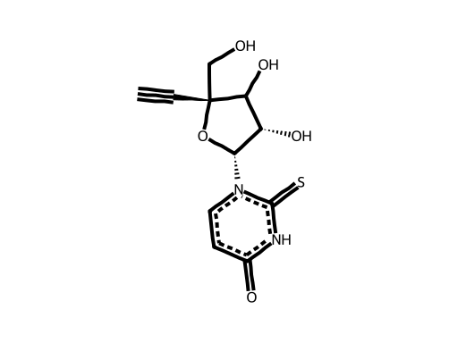 C#C[C@]1(CO)O[C@@H](n2ccc(=O)[nH]c2=S)[C@@H](O)C1O